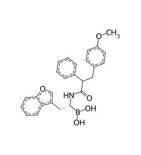 COc1ccc(CC(C(=O)N[C@@H](Cc2coc3ccccc23)B(O)O)c2ccccc2)cc1